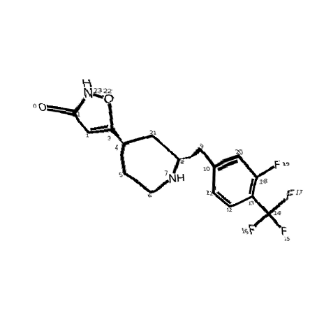 O=c1cc([C@@H]2CCN[C@H](Cc3ccc(C(F)(F)F)c(F)c3)C2)o[nH]1